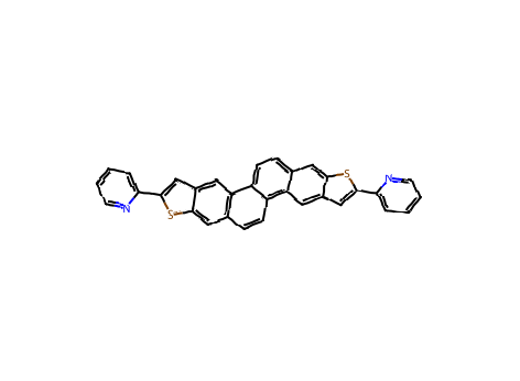 c1ccc(-c2cc3cc4c(ccc5c6cc7cc(-c8ccccn8)sc7cc6ccc45)cc3s2)nc1